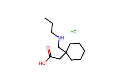 CCCNCC1(CC(=O)O)CCCCC1.Cl